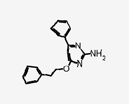 Nc1nc(OCCc2ccccc2)cc(-c2ccccc2)n1